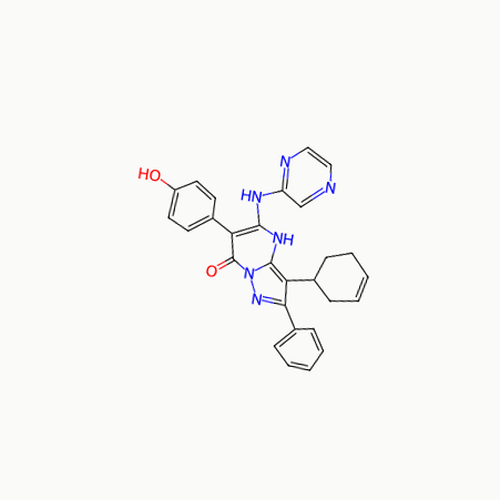 O=c1c(-c2ccc(O)cc2)c(Nc2cnccn2)[nH]c2c(C3CC=CCC3)c(-c3ccccc3)nn12